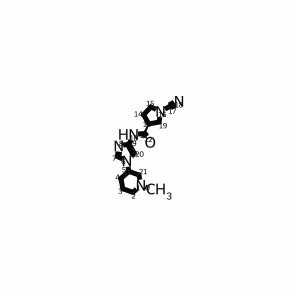 CN1CCCC(n2cnc(NC(=O)[C@H]3CCN(C#N)C3)c2)C1